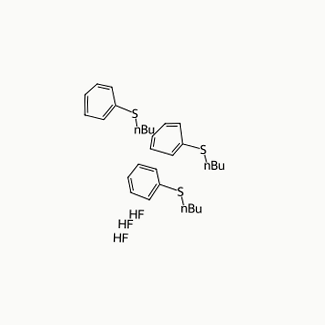 CCCCSc1ccccc1.CCCCSc1ccccc1.CCCCSc1ccccc1.F.F.F